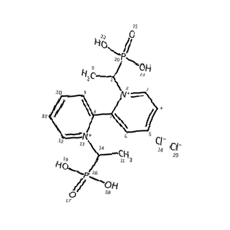 CC([n+]1ccccc1-c1cccc[n+]1C(C)P(=O)(O)O)P(=O)(O)O.[Cl-].[Cl-]